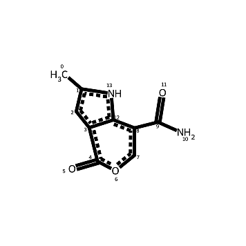 Cc1cc2c(=O)occ(C(N)=O)c2[nH]1